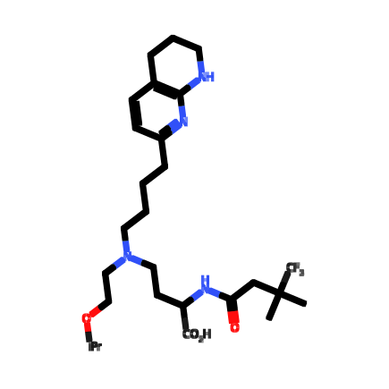 CC(C)OCCN(CCCCc1ccc2c(n1)NCCC2)CCC(NC(=O)CC(C)(C)C(F)(F)F)C(=O)O